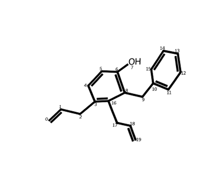 C=CCc1ccc(O)c(Cc2ccccc2)c1CC=C